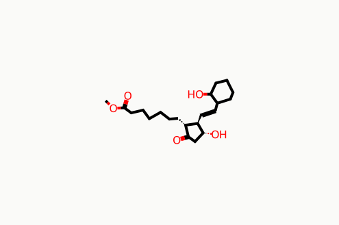 COC(=O)CCCCCC[C@H]1C(=O)C[C@@H](O)[C@@H]1/C=C/C1CCCCC1O